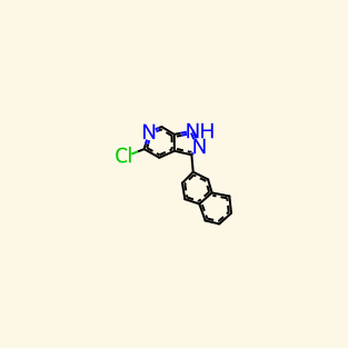 Clc1cc2c(-c3ccc4ccccc4c3)n[nH]c2cn1